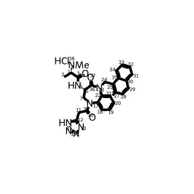 CN[C@@H](C)C(=O)N[C@H]1CN(C(=O)Cc2nnn[nH]2)c2ccccc2N(Cc2c(C)ccc3ccccc23)C1=O.Cl